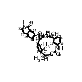 Cc1cc2ccc1[C@@H](C)CCC(=O)Nc1cccc(c1)[C@@H](C)NC(=O)[C@@H]2Nc1ccc2cc[nH]c(=O)c2c1